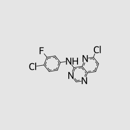 Fc1cc(Nc2ncnc3ccc(Cl)nc23)ccc1Cl